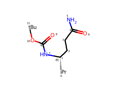 CC(C)[C@@H](CCC(N)=O)NC(=O)OC(C)(C)C